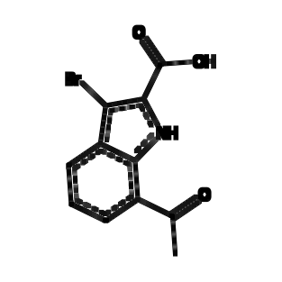 CC(=O)c1cccc2c(Br)c(C(=O)O)[nH]c12